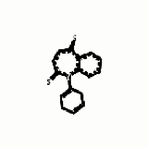 S=c1ccc(=S)n(C2=CCC=CC2)c2ccccc12